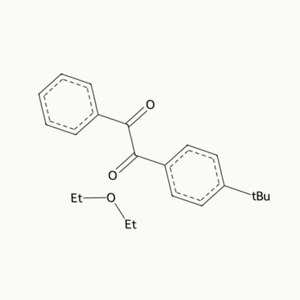 CC(C)(C)c1ccc(C(=O)C(=O)c2ccccc2)cc1.CCOCC